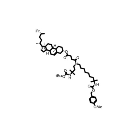 COc1ccc(COC(=O)NC(C)(C)CCCCCCCN(CCC(C)(C)NC(=O)OC(C)(C)C)C(=O)CCC(=O)O[C@H]2CC[C@@]3(C)C(=CC[C@H]4[C@@H]5CC[C@H]([C@H](C)CC[C@@H](C)C(C)C)[C@@]5(C)CC[C@@H]43)C2)cc1